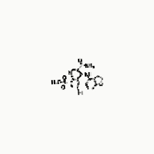 CCc1cc(S(C)(=O)=O)c2ncc(C(N)=O)c(Nc3cccc4c3CCO4)c2c1